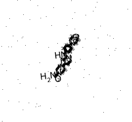 NC(=O)N1CCN(c2ccnc(Nc3ccc(N4CCOCC4)cc3)n2)CC1